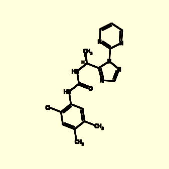 Cc1cc(Cl)c(NC(=O)N[C@@H](C)c2ncnn2-c2ncccn2)cc1C